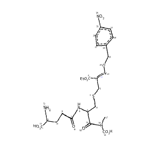 CCOC(=O)/C(CSCC(NC(=O)CCC(N)C(=O)O)C(=O)N(C)C(=O)O)=N\OCc1ccc([N+](=O)[O-])cc1